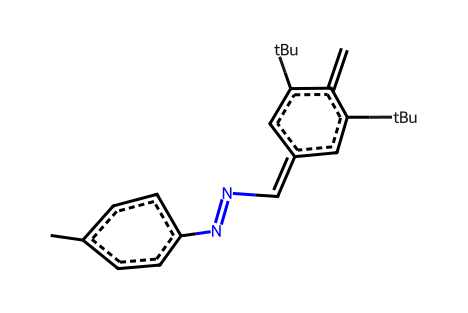 C=c1c(C(C)(C)C)cc(=C/N=N/c2ccc(C)cc2)cc1C(C)(C)C